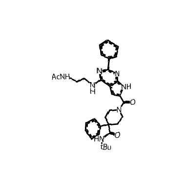 CC(=O)NCCNc1nc(-c2ccccc2)nc2[nH]c(C(=O)N3CCC(C(=O)NC(C)(C)C)(c4ccccc4)CC3)cc12